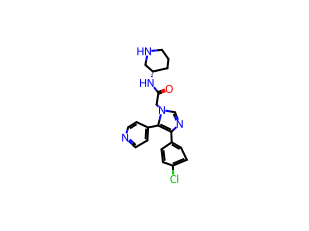 O=C(Cn1cnc(-c2ccc(Cl)cc2)c1-c1ccncc1)N[C@H]1CCCNC1